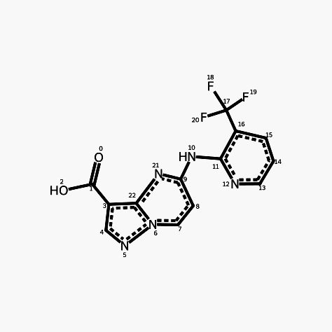 O=C(O)c1cnn2ccc(Nc3ncccc3C(F)(F)F)nc12